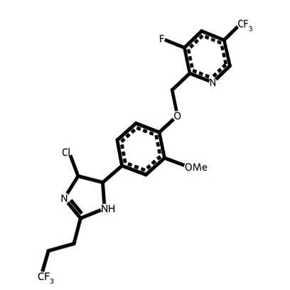 COc1cc(C2NC(CCC(F)(F)F)=NC2Cl)ccc1OCc1ncc(C(F)(F)F)cc1F